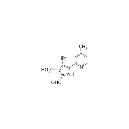 Cc1ccnc(-c2[nH]c(C=O)c(C(=O)O)c2C(C)C)c1